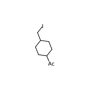 CC(=O)C1CCC(CI)CC1